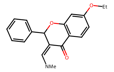 CCOc1ccc2c(c1)OC(c1ccccc1)C(=CNC)C2=O